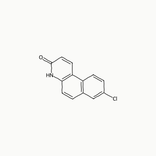 O=c1ccc2c(ccc3cc(Cl)ccc32)[nH]1